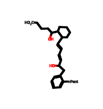 CCCCCc1ccccc1CC(O)/C=C/C=C/C1CCCCC1C(O)CCCC(=O)O